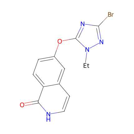 CCn1nc(Br)nc1Oc1ccc2c(=O)[nH]ccc2c1